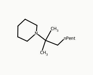 CCCCCCC(C)(C)N1CCCCC1